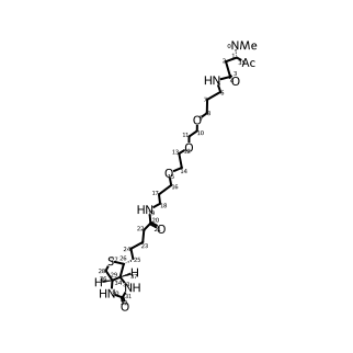 CN[C@@H](CC(=O)NCCCOCCOCCOCCCNC(=O)CCCC[C@H]1SC[C@H]2NC(=O)N[C@H]21)C(C)=O